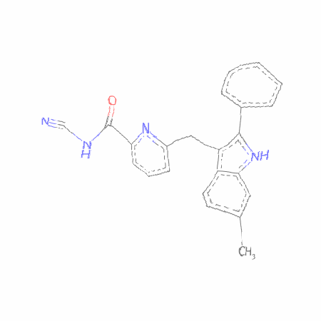 Cc1ccc2c(Cc3cccc(C(=O)NC#N)n3)c(-c3ccccc3)[nH]c2c1